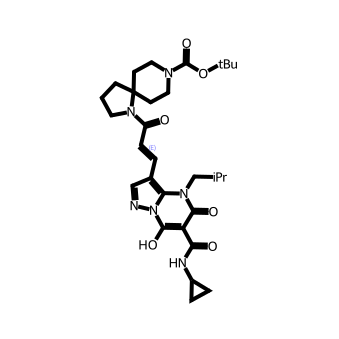 CC(C)Cn1c(=O)c(C(=O)NC2CC2)c(O)n2ncc(/C=C/C(=O)N3CCCC34CCN(C(=O)OC(C)(C)C)CC4)c12